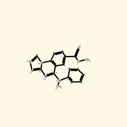 COC(=O)c1ccc2c(c1)c(N(C)c1ccccc1)nc1nncn12